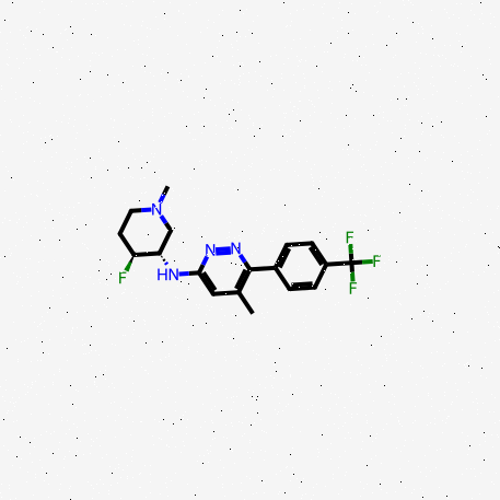 Cc1cc(N[C@H]2CN(C)CC[C@@H]2F)nnc1-c1ccc(C(F)(F)F)cc1